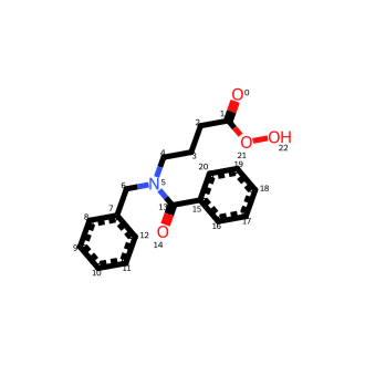 O=C(CCCN(Cc1ccccc1)C(=O)c1ccccc1)OO